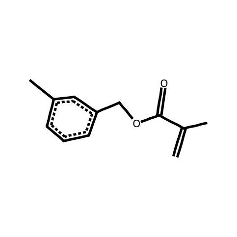 C=C(C)C(=O)OCc1cccc(C)c1